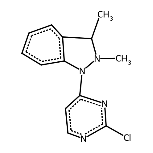 CC1c2ccccc2N(c2ccnc(Cl)n2)N1C